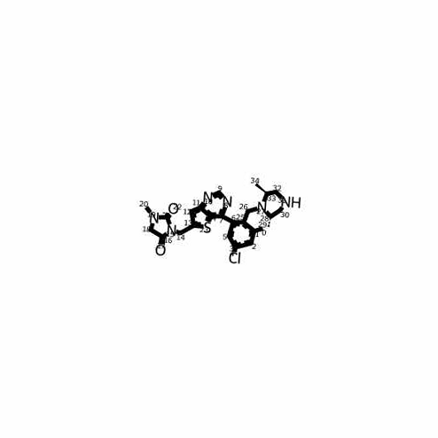 Cc1cc(Cl)cc(-c2ncnc3cc(CN4C(=O)CN(C)C4=O)sc23)c1CN1[C@@H](C)CNC[C@@H]1C